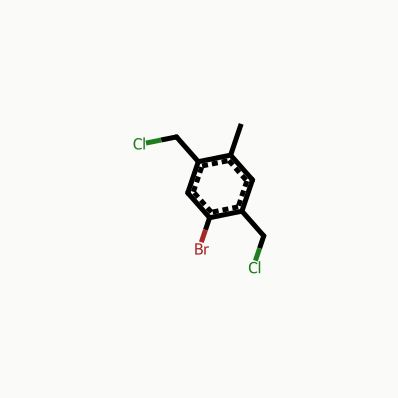 Cc1cc(CCl)c(Br)cc1CCl